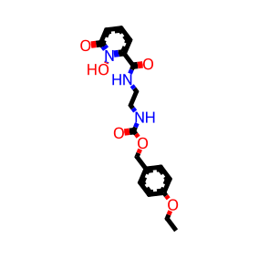 CCOc1ccc(COC(=O)NCCNC(=O)c2cccc(=O)n2O)cc1